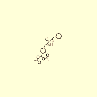 CC(=O)OC(OC(C)=O)c1ccc(CNC(=O)OCc2ccccc2)cc1